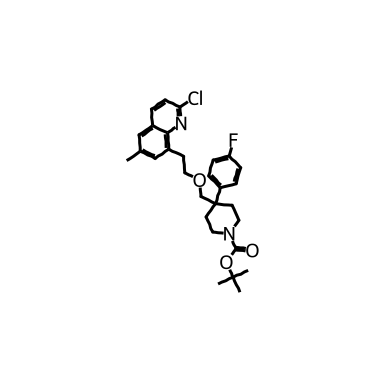 Cc1cc(CCOCC2(c3ccc(F)cc3)CCN(C(=O)OC(C)(C)C)CC2)c2nc(Cl)ccc2c1